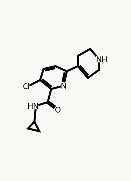 O=C(NC1CC1)c1nc(C2=CCNCC2)ccc1Cl